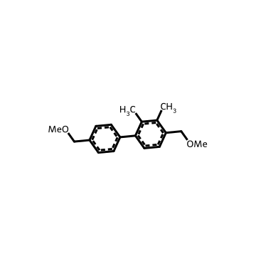 COCc1ccc(-c2ccc(COC)c(C)c2C)cc1